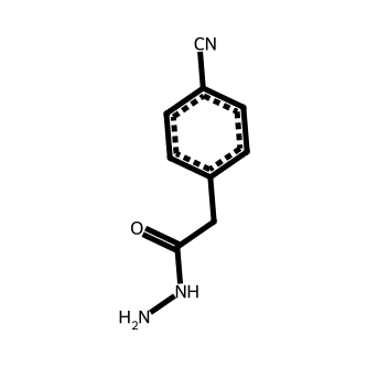 N#Cc1ccc(CC(=O)NN)cc1